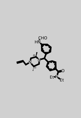 C=CCN1C[C@@H](C)N(C(c2ccc(C(=O)N(CC)CC)cc2)c2cccc(NC=O)c2)C[C@@H]1C